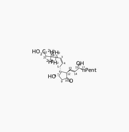 [2H]C([2H])(/C=C\C[C@H]1[C@@H](O)CC(=O)[C@@H]1/C=C/[C@@H](O)CCCCC)C([2H])([2H])CC(=O)O